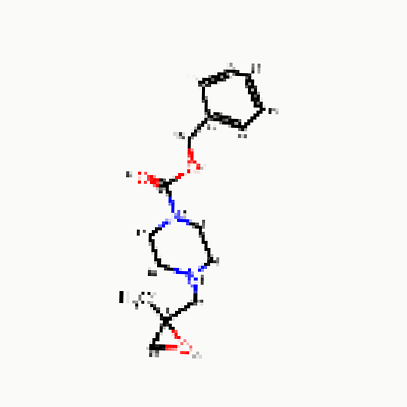 CC1(CN2CCN(C(=O)OCc3ccccc3)CC2)CO1